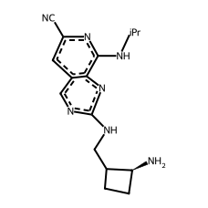 CC(C)Nc1nc(C#N)cc2cnc(NCC3CC[C@@H]3N)nc12